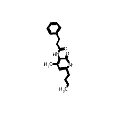 CCCCC1=CC(C)=C(NC(=O)CCc2ccccc2)C(=O)[N]1